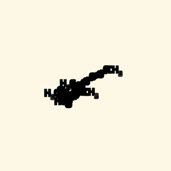 COCCOCCOCCOCc1cc(OC)c(-c2ccc(C[C@H](NC(=O)OC(C)(C)C)C(=O)O)cc2)c(OC)c1